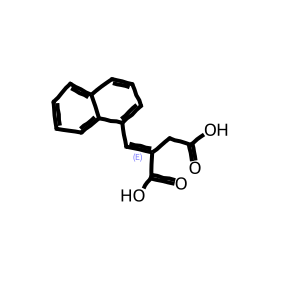 O=C(O)C/C(=C\c1cccc2ccccc12)C(=O)O